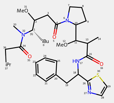 CCC(C)[C@@H](C(CC(=O)N1CCCC1C(OC)C(C)C(=O)NC(Cc1ccccc1)c1nccs1)OC)N(C)C(=O)CC(C)C